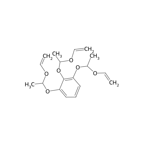 C=COC(C)Oc1cccc(OC(C)OC=C)c1OC(C)OC=C